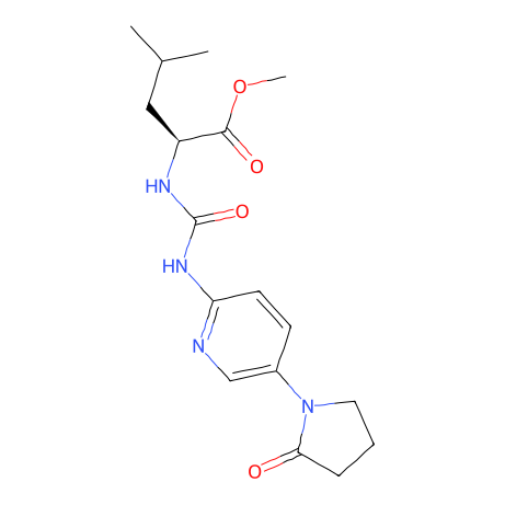 COC(=O)[C@H](CC(C)C)NC(=O)Nc1ccc(N2CCCC2=O)cn1